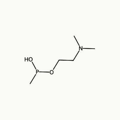 CN(C)CCOP(C)O